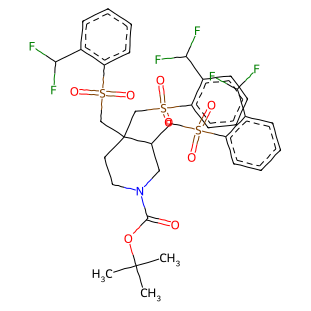 CC(C)(C)OC(=O)N1CCC(CS(=O)(=O)c2ccccc2C(F)F)(CS(=O)(=O)c2ccccc2C(F)F)C(CS(=O)(=O)c2ccccc2C(F)F)C1